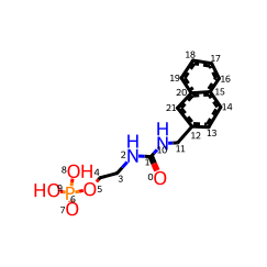 O=C(NCCOP(=O)(O)O)NCc1ccc2ccccc2c1